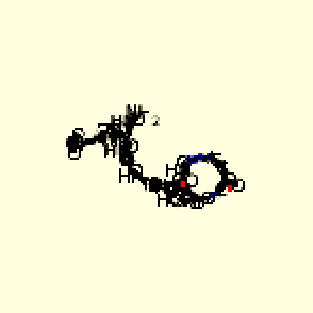 CC(=O)O[C@@H]1[C@H](C)C/C=C/O[C@@]2(C)Oc3c(C)c(O)c4c(=O)c(c5oc6cc(N7CCN(CCNOCc8ccc(NC(=O)[C@H](CCCNC(N)=O)NC(=O)[C@@H](NC(=O)CCCCCN9C(=O)C=CC9=O)C(C)C)cc8)CC7)cc(O)c6nc-5c4c3C2=O)NC(=O)/C(C)=C\C=C\[C@H](C)C[C@@H](C)C[C@H]1C